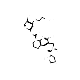 COCCNc1cc(NC(=O)N2CCCc3cc(CN(C)C(=O)[C@H]4CCCN4)c(C=O)nc32)ncc1C#N